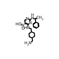 C=C(Nc1ncc([N+](=O)O)c(NCC2CCC(CN)CC2)n1)c1ccccc1